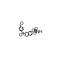 CNS(=O)(=O)Oc1ccc2c(c1)CN(C(=O)c1ccc(C=O)cc1)CC2